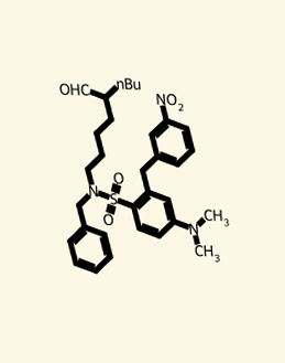 CCCCC(C=O)CCCCN(Cc1ccccc1)S(=O)(=O)c1ccc(N(C)C)cc1Cc1cccc([N+](=O)[O-])c1